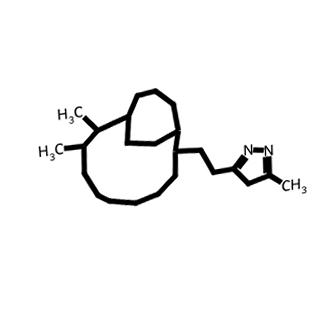 CC1=NN=C(CCC2CCCCCCC(C)C(C)C3CCCC2CC3)C1